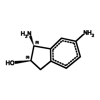 Nc1ccc2c(c1)[C@@H](N)[C@H](O)C2